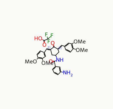 COc1ccc(/C=C2\CC(NC(=O)c3cccc(N)c3)C/C(=C\c3ccc(OC)c(OC)c3)C2=O)cc1OC.O=C(O)C(F)(F)F